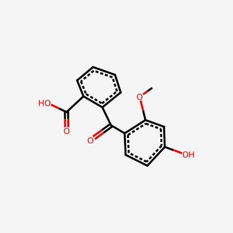 COc1cc(O)ccc1C(=O)c1ccccc1C(=O)O